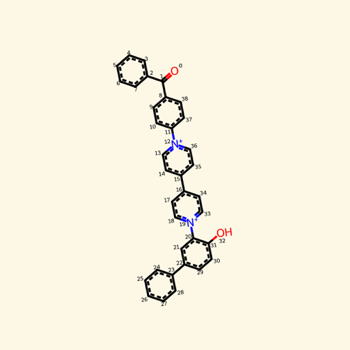 O=C(c1ccccc1)c1ccc(-[n+]2ccc(-c3cc[n+](-c4cc(-c5ccccc5)ccc4O)cc3)cc2)cc1